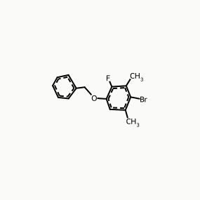 Cc1cc(OCc2ccccc2)c(F)c(C)c1Br